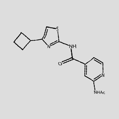 CC(=O)Nc1cc(C(=O)Nc2nc(C3CCC3)cs2)ccn1